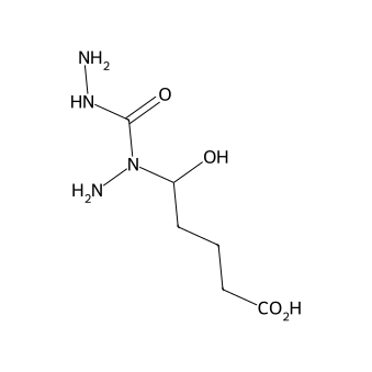 NNC(=O)N(N)C(O)CCCC(=O)O